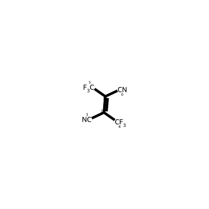 N#CC(=C(C#N)C(F)(F)F)C(F)(F)F